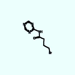 O=C(CCCBr)Nc1ncncn1